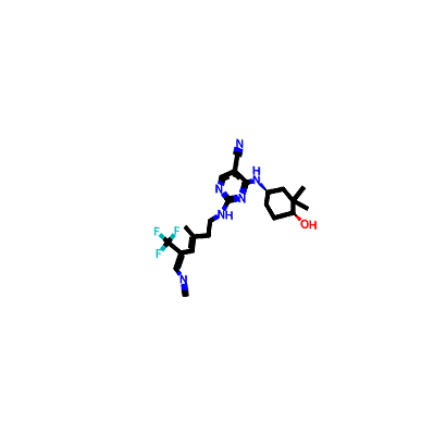 C=N/C=C(\C=C(/C)CCNc1ncc(C#N)c(N[C@@H]2CC[C@H](O)C(C)(C)C2)n1)C(F)(F)F